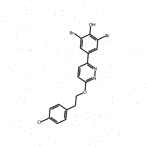 Oc1c(Br)cc(-c2ccc(OCCc3ccc(Cl)cc3)nn2)cc1Br